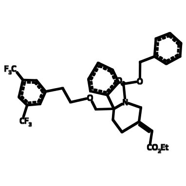 CCOC(=O)C=C1CCC(COCCc2cc(C(F)(F)F)cc(C(F)(F)F)c2)(c2ccccc2)N(C(=O)OCc2ccccc2)C1